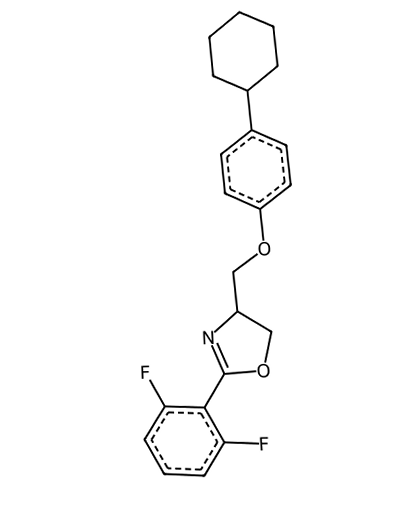 Fc1cccc(F)c1C1=NC(COc2ccc(C3CCCCC3)cc2)CO1